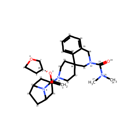 C=C(O[C@@H]1CCOC1)N1C2CCC1CC(N1CCC3(CC1)CN(C(=O)N(C)C)Cc1ccccc13)C2